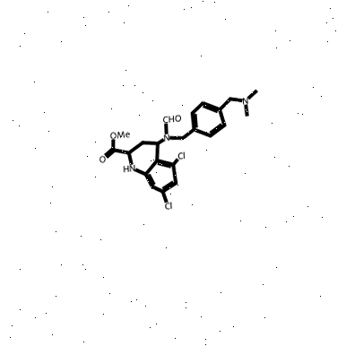 COC(=O)C1CC(N(C=O)Cc2ccc(CN(C)C)cc2)c2c(Cl)cc(Cl)cc2N1